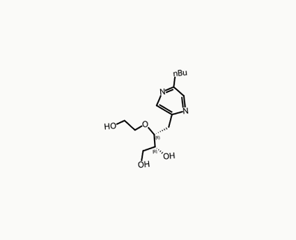 CCCCc1cnc(C[C@@H](OCCO)[C@H](O)CO)cn1